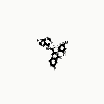 CC[C@H](Nc1ncnc2[nH]cnc12)c1nc2ccc(F)cc2c(=O)n1-c1ccc(Cl)cc1Cl